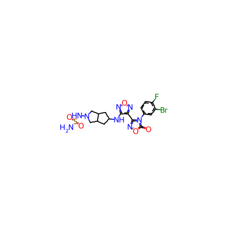 NS(=O)(=O)NN1CC2CC(Nc3nonc3-c3noc(=O)n3-c3ccc(F)c(Br)c3)CC2C1